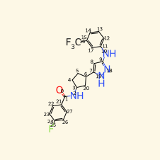 O=C(NC1CCC(c2cc(Nc3cccc(C(F)(F)F)c3)n[nH]2)C1)c1ccc(F)cc1